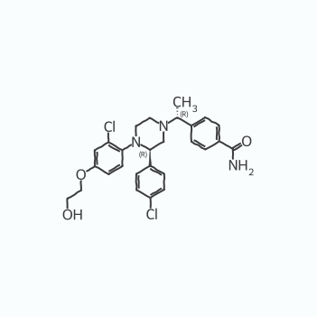 C[C@H](c1ccc(C(N)=O)cc1)N1CCN(c2ccc(OCCO)cc2Cl)[C@H](c2ccc(Cl)cc2)C1